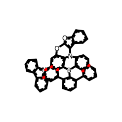 c1ccc(-c2cccc(-c3ccccc3)c2B2c3ccccc3N3c4c(cc(-n5c6ccccc6c6ccccc65)cc42)Oc2oc4ccccc4c23)cc1